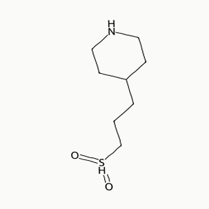 O=[SH](=O)CCCC1CCNCC1